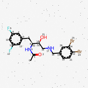 CC(=O)N[C@@H](Cc1cc(F)cc(F)c1)[C@@H](O)CNCc1ccc(Br)c(Br)c1